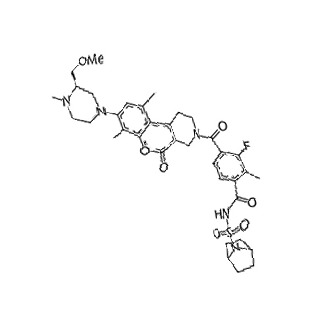 COC[C@H]1CN(c2cc(C)c3c4c(c(=O)oc3c2C)CN(C(=O)c2ccc(C(=O)NS(=O)(=O)N3C5CCC3CC5)c(C)c2F)CC4)CCN1C